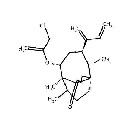 C=CC(=C)[C@@H]1C[C@@H](OC(=C)CCl)[C@]2(C)C(C)CC[C@]3(CCC(=O)C32)[C@H]1C